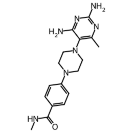 CNC(=O)c1ccc(N2CCN(c3c(C)nc(N)nc3N)CC2)cc1